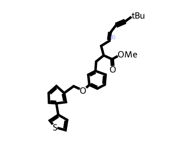 COC(=O)C(C/C=C/C#CC(C)(C)C)Cc1cccc(OCc2cccc(-c3ccsc3)c2)c1